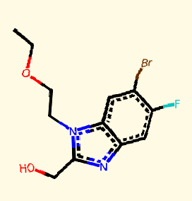 CCOCCn1c(CO)nc2cc(F)c(Br)cc21